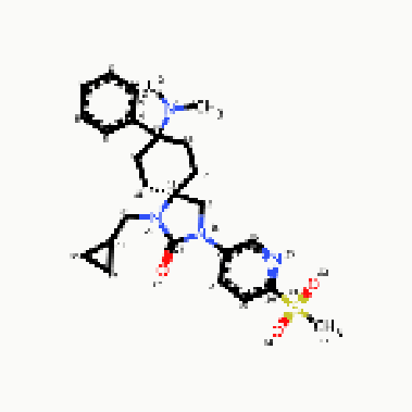 CN(C)[C@]1(c2ccccc2)CC[C@]2(CC1)CN(c1ccc(S(C)(=O)=O)nc1)C(=O)N2CC1CC1